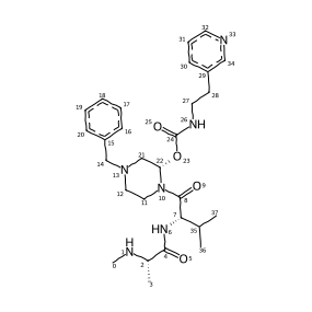 CN[C@@H](C)C(=O)N[C@H](C(=O)N1CCN(Cc2ccccc2)C[C@@H]1OC(=O)NCCc1cccnc1)C(C)C